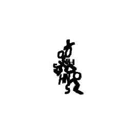 CCCC1Oc2ccc(C(C)(NC(=O)OC(C)(C)C)c3cccs3)cc2NC1=S